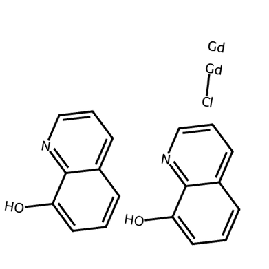 Oc1cccc2cccnc12.Oc1cccc2cccnc12.[Cl][Gd].[Gd]